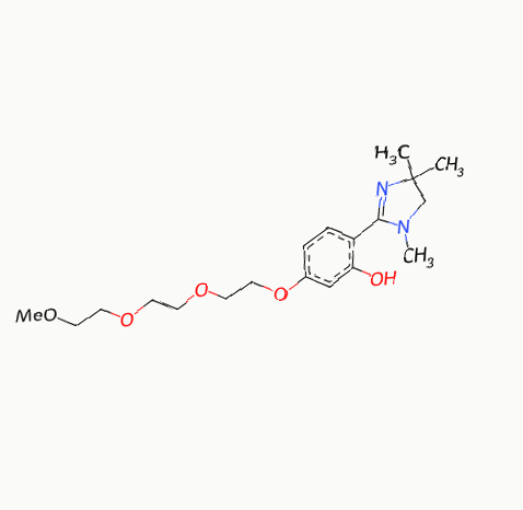 COCCOCCOCCOc1ccc(C2=NC(C)(C)CN2C)c(O)c1